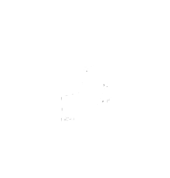 C#N.CCCCCC[Si](C)C.[OH]